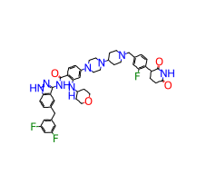 O=C1CCC(c2ccc(CN3CCC(N4CCN(c5ccc(C(=O)Nc6n[nH]c7ccc(Cc8cc(F)cc(F)c8)cc67)c(NC6CCOCC6)c5)CC4)CC3)cc2F)C(=O)N1